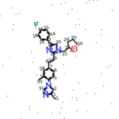 Cc1cn(-c2ccc(/C=C/c3nc(-c4ccc(F)cc4)cn3CC3CCCO3)cc2C)cn1